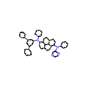 c1ccc(-c2cc(-c3ccccc3)cc(N(c3ccccc3)c3ccc4ccc5c(N(c6ccccc6)c6cnccn6)ccc6ccc3c4c65)c2)cc1